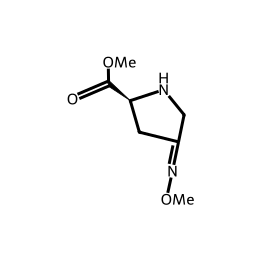 CO/N=C1/CN[C@H](C(=O)OC)C1